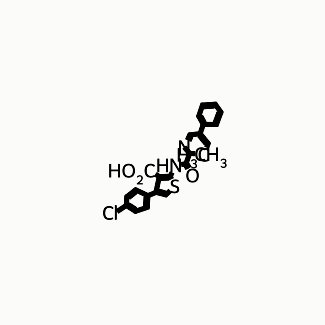 C/C=C(\C=N/C(C)C(=O)Nc1scc(-c2ccc(Cl)cc2)c1C(=O)O)c1ccccc1